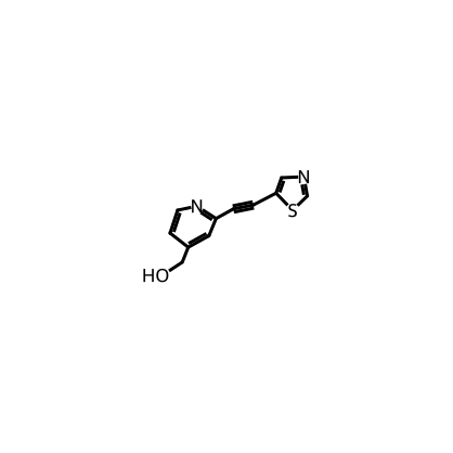 OCc1ccnc(C#Cc2cncs2)c1